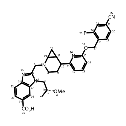 CO[C@H](C)Cn1c(CN2CCC(c3cccc(OCc4ccc(C#N)cc4F)n3)C3CC32)nc2ccc(C(=O)O)cc21